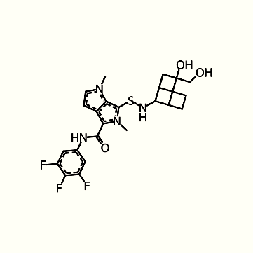 Cn1c(C(=O)Nc2cc(F)c(F)c(F)c2)c2ccn(C)c2c1SNC1C2CCC23C1CC3(O)CO